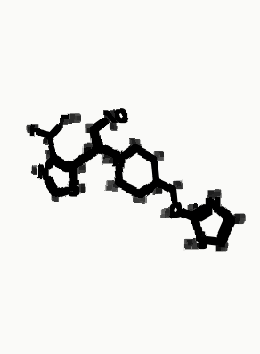 O=NCC(c1scnc1C(F)F)N1CCC(COc2nccs2)CC1